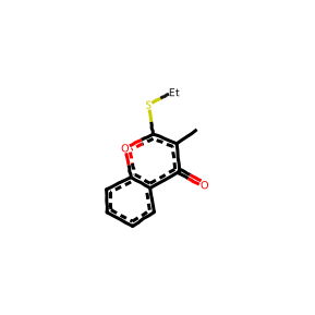 CCSc1oc2ccccc2c(=O)c1C